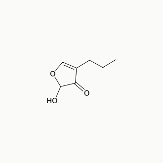 CCCC1=COC(O)C1=O